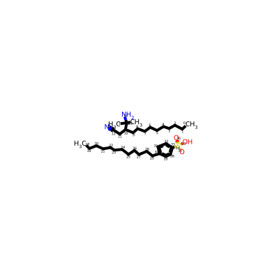 CCCCCCCCCCC(CC#N)C(C)(C)N.CCCCCCCCCCCCc1ccc(S(=O)(=O)O)cc1